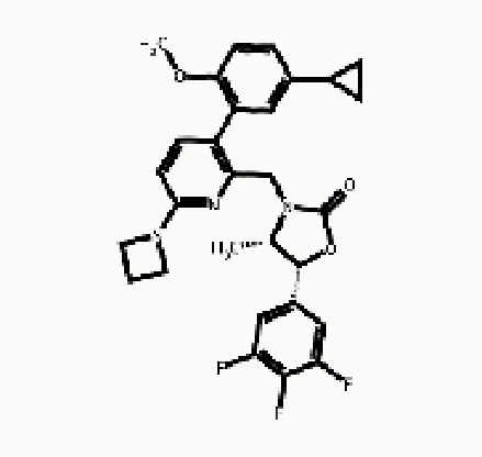 COc1ccc(C2CC2)cc1-c1ccc(N2CCC2)nc1CN1C(=O)O[C@H](c2cc(F)c(F)c(F)c2)[C@@H]1C